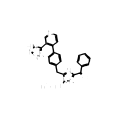 CCCCCn1nc(C(=O)c2ccccc2)nc1Cc1ccc(-c2ccncc2-c2nnn[nH]2)cc1